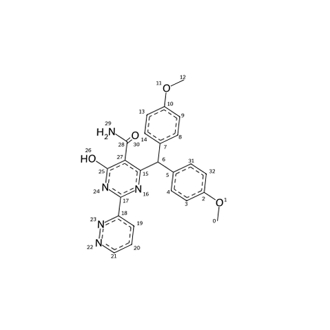 COc1ccc(C(c2ccc(OC)cc2)c2nc(-c3cccnn3)nc(O)c2C(N)=O)cc1